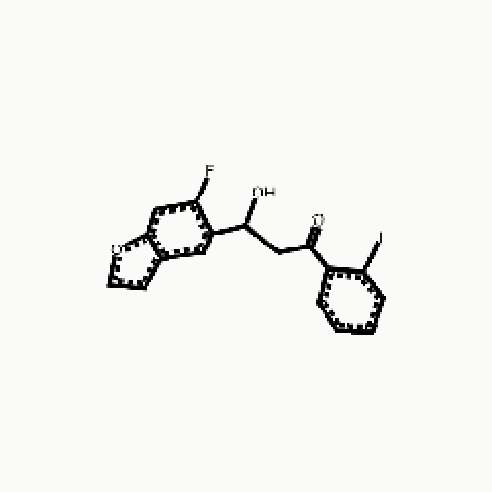 O=C(CC(O)c1cc2ccoc2cc1F)c1ccccc1I